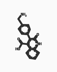 NCc1ccc(-c2c(C(=O)O)c3ccccc3[nH]c2=O)cc1